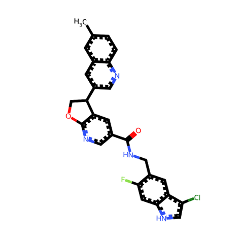 Cc1ccc2ncc(C3COc4ncc(C(=O)NCc5cc6c(Cl)c[nH]c6cc5F)cc43)cc2c1